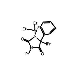 CC[Si](CC)(CC)N1C(=O)N(C(C)C)C(=O)C1(c1ccccc1)C(C)C